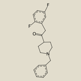 O=C(Cc1cc(F)ccc1F)C1CCN(Cc2ccccc2)CC1